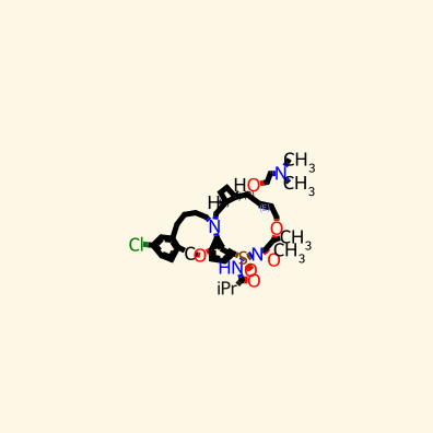 CC(C)C(=O)NS1(=O)=NC(=O)C(C)(C)OC/C=C/[C@H](OCCN(C)C)[C@@H]2CC[C@H]2CN2CCCCc3cc(Cl)ccc3COc3ccc1cc32